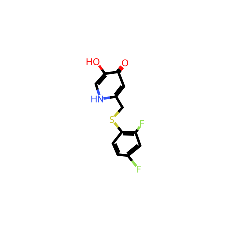 O=c1cc(CSc2ccc(F)cc2F)[nH]cc1O